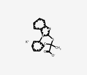 CC(C)(Sc1nc2ccccc2n1-c1ccccc1)C(=O)[O-].[K+]